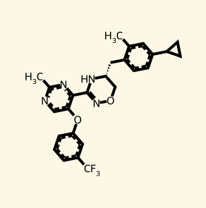 Cc1ncc(Oc2cccc(C(F)(F)F)c2)c(C2=NOC[C@@H](Cc3ccc(C4CC4)cc3C)N2)n1